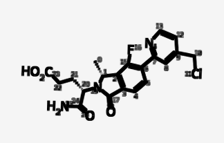 C[C@@H]1c2c(ccc(-c3cc(CCl)ccn3)c2F)C(=O)N1[C@@H](CCC(=O)O)C(N)=O